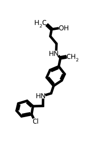 C=C(O)CCNC(=C)c1ccc(CNCc2ccccc2Cl)cc1